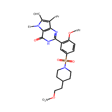 CCCOc1ccc(S(=O)(=O)N2CCC(CCO[N+](=O)[O-])CC2)cc1-c1nc2c(CCC)c(C=O)n(CC)c2c(=O)[nH]1